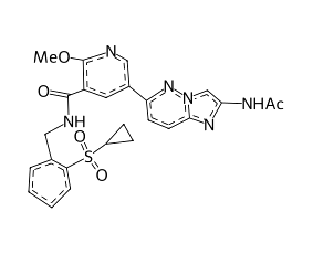 COc1ncc(-c2ccc3nc(NC(C)=O)cn3n2)cc1C(=O)NCc1ccccc1S(=O)(=O)C1CC1